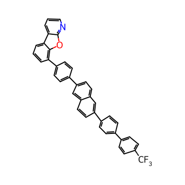 FC(F)(F)c1ccc(-c2ccc(-c3ccc4cc(-c5ccc(-c6cccc7c6oc6ncccc67)cc5)ccc4c3)cc2)cc1